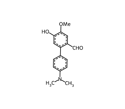 COc1cc(C=O)c(-c2ccc(N(C)C)cc2)cc1O